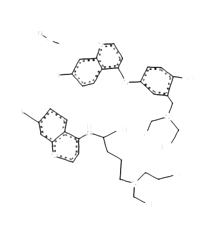 CCN.CCN(CC)Cc1cc(Nc2ccnc3cc(Cl)ccc23)ccc1O.CCN(CCO)CCCC(C)Nc1ccnc2cc(Cl)ccc12